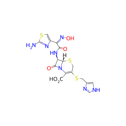 Nc1nc(/C(=N/O)C(=O)N[C@@H]2C(=O)N3C(C(=O)O)=C(SCc4c[nH]cn4)CS[C@@H]23)cs1